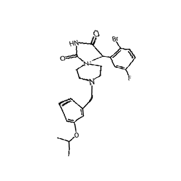 CC(C)Oc1cccc(CN2CC[N+]3(CC2)C(=O)NC(=O)C3c2cc(F)ccc2Br)c1